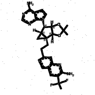 CC1(C)O[C@H]2[C@H](n3ccc4c(N)ncnc43)[C@H]3C[C@@]3(CCc3ccc4cc(C(C)(F)F)c(N)nc4c3)[C@H]2O1